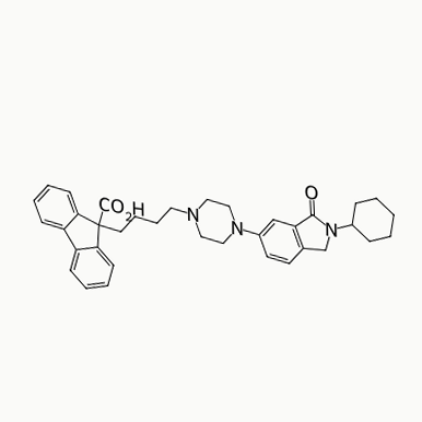 O=C1c2cc(N3CCN(CCCCC4(C(=O)O)c5ccccc5-c5ccccc54)CC3)ccc2CN1C1CCCCC1